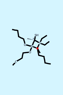 CCCCO[Si](OCCCC)(OCCCC)[C@@](C)(S)[Si](CC)(CC)CC